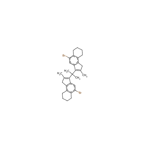 CC1=C(C(C)(C)C2=C(C)Cc3c2cc(Br)c2c3CCCC2)c2cc(Br)c3c(c2C1)CCCC3